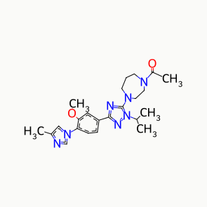 COc1cc(-c2nc(N3CCCN(C(C)=O)CC3)n(C(C)C)n2)ccc1-n1cnc(C)c1